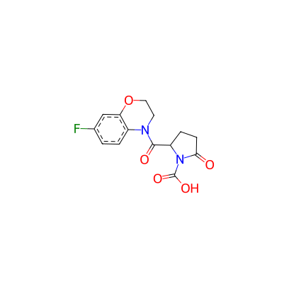 O=C(C1CCC(=O)N1C(=O)O)N1CCOc2cc(F)ccc21